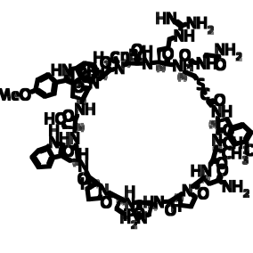 CCCC[C@H]1C(=O)N(C)[C@@H](CCCC)C(=O)N[C@@H](CCCNC(=N)N)C(=O)N[C@H](C(=O)NCC(N)=O)CSCC(=O)N[C@@H](Cc2ccc(O)cc2)C(=O)N(C)[C@@H](C)C(=O)N[C@@H](CC(N)=O)C(=O)N2CCC[C@H]2C(=O)N[C@@H](CN)C(=O)N[C@@H](CC(C)C)C(=O)N2CCC[C@H]2C(=O)N[C@@H](Cc2c[nH]c3ccccc23)C(=O)N[C@@H](CO)C(=O)N[C@@H](Cc2c(-c3ccc(OC)cc3)[nH]c3ccccc23)C(=O)N1C